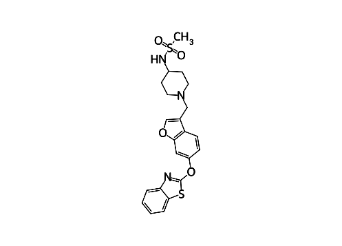 CS(=O)(=O)NC1CCN(Cc2coc3cc(Oc4nc5ccccc5s4)ccc23)CC1